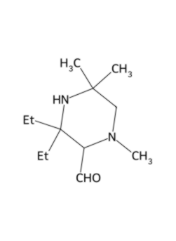 CCC1(CC)NC(C)(C)CN(C)C1C=O